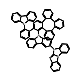 c1ccc2c(c1)-c1ccccc1-c1ccc(-c3ccccc3-n3c4ccccc4c4ccccc43)c(-n3c4ccccc4c4cc(-n5c6ccccc6n6c7ccccc7nc56)ccc43)c1-c1ccccc1-2